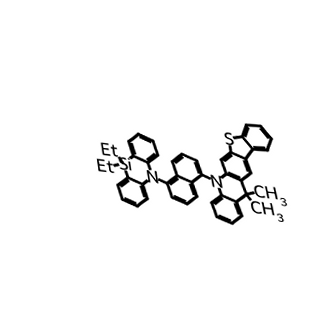 CC[Si]1(CC)c2ccccc2N(c2cccc3c(N4c5ccccc5C(C)(C)c5cc6c(cc54)sc4ccccc46)cccc23)c2ccccc21